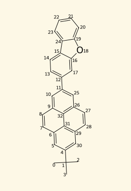 CC(C)(C)c1cc2ccc3cc(-c4ccc5c(c4)oc4ccccc45)cc4ccc(c1)c2c34